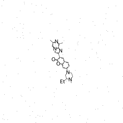 CCC1CN(c2ccc3cc(-c4cn5cc(C)nc(C)c5n4)c(=O)oc3c2)CCN1C